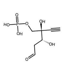 C#C[C@@](O)(COP(=O)(O)O)[C@H](O)CC=O